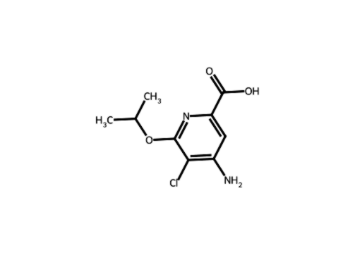 CC(C)Oc1nc(C(=O)O)cc(N)c1Cl